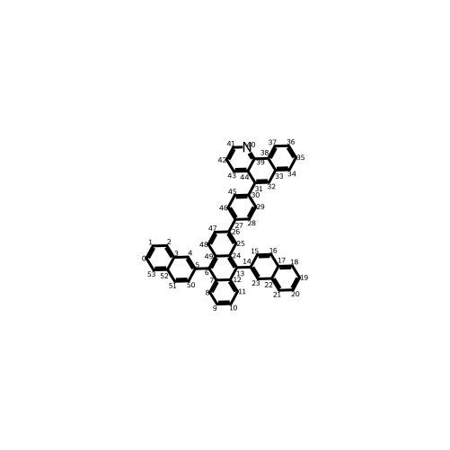 c1ccc2cc(-c3c4ccccc4c(-c4ccc5ccccc5c4)c4cc(-c5ccc(-c6cc7ccccc7c7ncccc67)cc5)ccc34)ccc2c1